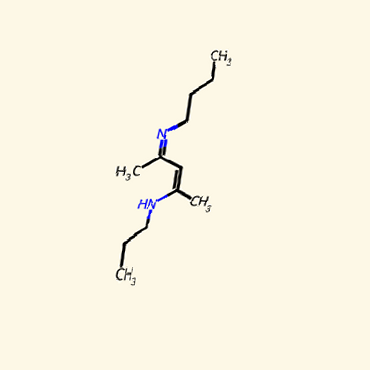 CCCCN=C(C)C=C(C)NCCC